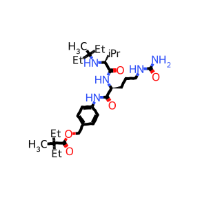 CCC(C)(CC)N[C@H](C(=O)N[C@@H](CCCNC(N)=O)C(=O)Nc1ccc(COC(=O)C(C)(CC)CC)cc1)C(C)C